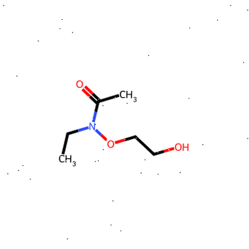 CCN(OCCO)C(C)=O